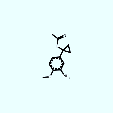 COc1ccc(C2(OC(C)=O)CC2)cc1N